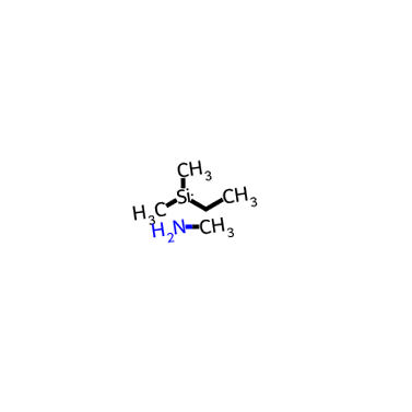 CC[Si](C)C.CN